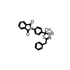 CC1(c2ccc(N3C(=O)c4ccccc4C3=O)cc2)NN=C(Cc2ccccc2)S1